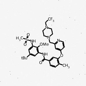 COc1c(NC(=O)c2ccc(C)c(Oc3ccnc(CN4CCN(CC(F)(F)F)CC4)c3)c2)cc(C(C)(C)C)cc1NS(C)(=O)=O